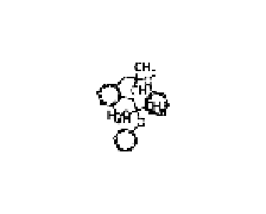 CC(C)(Cc1cccc(O)c1CC(C)(C)Oc1ccccc1)Oc1ccccc1